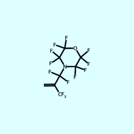 C=C(C(F)(F)F)C(F)(F)N1C(F)(F)C(F)(F)OC(F)(F)C1(F)F